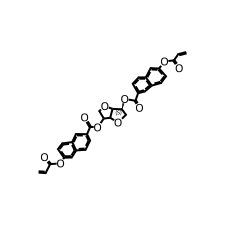 C=CC(=O)Oc1ccc2cc(C(=O)OC3COC4C3OC[C@@H]4OC(=O)c3ccc4cc(OC(=O)C=C)ccc4c3)ccc2c1